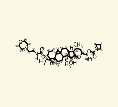 CC(C)[C@@H](OC(=O)N1CCC1)C1C[C@@H](C)[C@H]2C(O1)[C@H](O)[C@@]1(C)C3CC[C@H]4C(C)(C)[C@@H](OC(=O)NCCN5CCOCC5)CC[C@@]45CC35CC[C@]21C